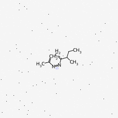 C=C(C)/N=N\C(=C)C(C)CC